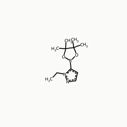 CCn1nccc1B1OC(C)(C)C(C)(C)O1